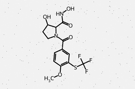 COc1ccc(C(=O)N2CCC(O)C2C(=O)NO)cc1SC(F)(F)F